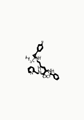 CC1(NCCCCC(NC(=O)c2ccccc2)C(=O)NCc2ccccn2)CC1c1ccc(F)cc1